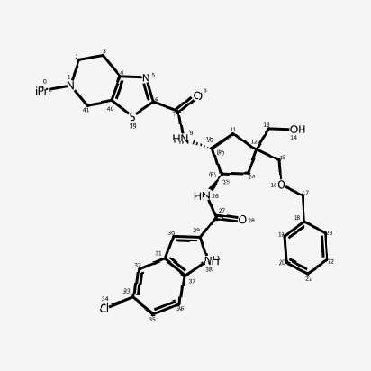 CC(C)N1CCc2nc(C(=O)N[C@@H]3CC(CO)(COCc4ccccc4)C[C@H]3NC(=O)c3cc4cc(Cl)ccc4[nH]3)sc2C1